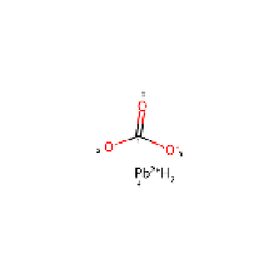 O=C([O-])[O-].[PbH2+2]